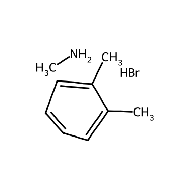 Br.CN.Cc1ccccc1C